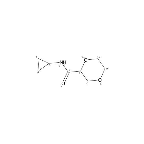 O=C(NC1CC1)C1COCCO1